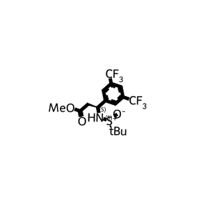 COC(=O)C[C@H](N[S@+]([O-])C(C)(C)C)c1cc(C(F)(F)F)cc(C(F)(F)F)c1